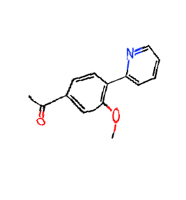 COc1cc(C(C)=O)ccc1-c1ccccn1